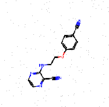 N#Cc1ccc(OCCNc2nccnc2C#N)cc1